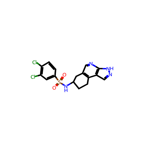 O=S(=O)(NC1CCc2c(cnc3[nH]ncc23)C1)c1ccc(Cl)c(Cl)c1